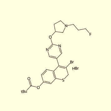 Br.CC(C)(C)C(=O)Oc1ccc2c(c1)SCC(Br)=C2c1cnc(OC2CCN(CCCF)C2)nc1